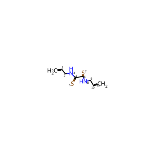 C=CCNC(=S)C(=S)NCC=C